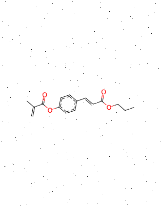 C=C(C)C(=O)Oc1ccc(C=CC(=O)OCCC)cc1